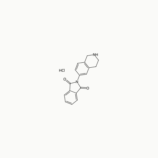 Cl.O=C1c2ccccc2C(=O)N1c1ccc2c(c1)CCNC2